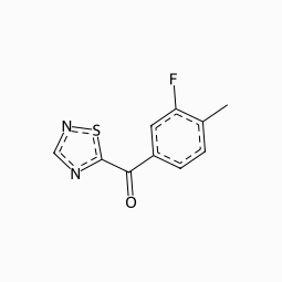 Cc1ccc(C(=O)c2ncns2)cc1F